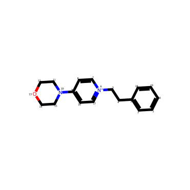 c1ccc(CC[n+]2ccc(N3CCOCC3)cc2)cc1